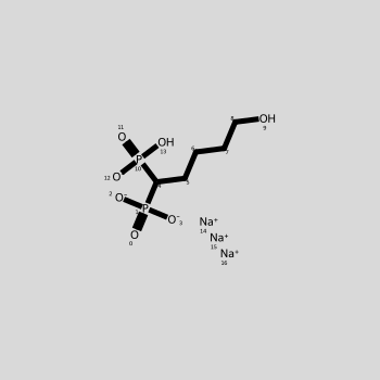 O=P([O-])([O-])C(CCCCO)P(=O)([O-])O.[Na+].[Na+].[Na+]